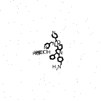 Cl.Cl.Cl.Cl.NCc1ccc(-c2nc3ccnc(CN(Cc4ccncc4)C(=O)c4ccncc4)c3cc2-c2ccccc2)cc1